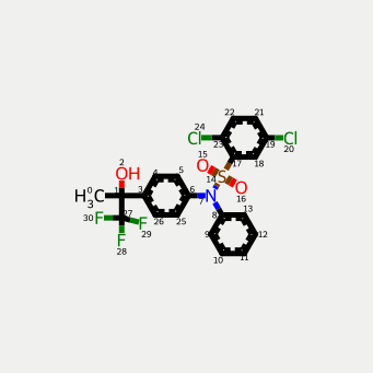 CC(O)(c1ccc(N(c2ccccc2)S(=O)(=O)c2cc(Cl)ccc2Cl)cc1)C(F)(F)F